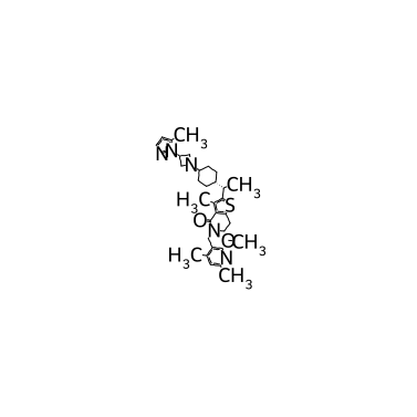 COc1nc(C)cc(C)c1CN1CCc2sc(C(C)[C@H]3CC[C@H](N4CC(n5nccc5C)C4)CC3)c(C)c2C1=O